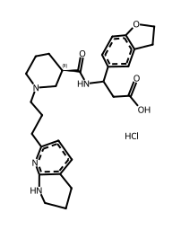 Cl.O=C(O)CC(NC(=O)[C@@H]1CCCN(CCCc2ccc3c(n2)NCCC3)C1)c1ccc2c(c1)CCO2